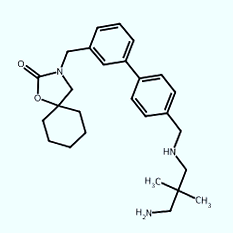 CC(C)(CN)CNCc1ccc(-c2cccc(CN3CC4(CCCCC4)OC3=O)c2)cc1